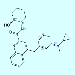 C\N=C/C(=C\C=C(/C)C1CC1)Cc1cc(C(=O)N[C@H]2CCCC[C@@H]2O)nc2ccccc12